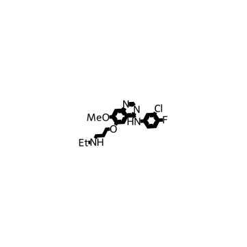 CCNCCCOc1cc2c(Nc3ccc(F)c(Cl)c3)ncnc2cc1OC